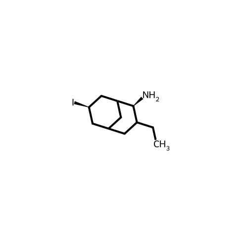 CCC1CC2CC(C[C@H](I)C2)[C@H]1N